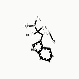 CN(C)C(C)(Cc1c[nH]c2ccccc12)C(=O)O.[SiH3]Cl